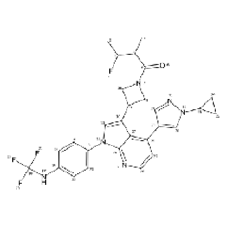 CC(F)C(C)C(=O)N1CC(c2cn(-c3ccc(NC(F)(F)F)cc3)c3nccc(-c4cnn(C5CC5)c4)c23)C1